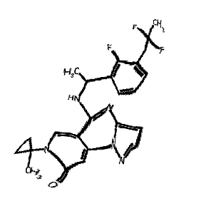 CC(Nc1nc2ccnn2c2cc(=O)n(C3(C)CC3)cc12)c1cccc(C(C)(F)F)c1F